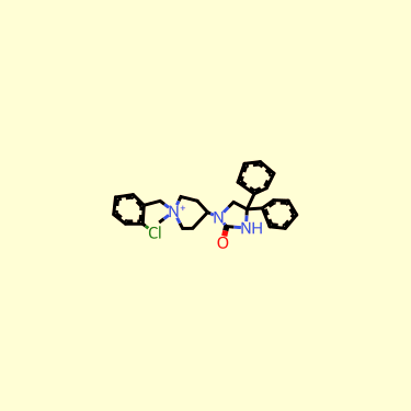 C[N+]1(Cc2ccccc2Cl)CCC(N2CC(c3ccccc3)(c3ccccc3)NC2=O)CC1